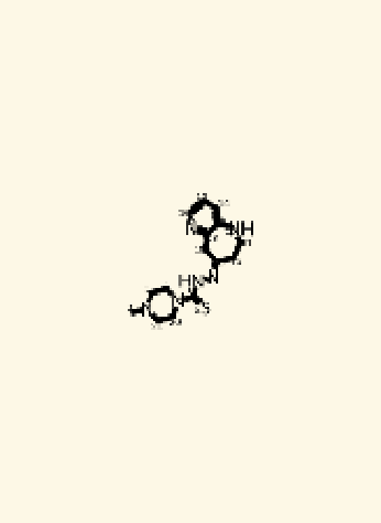 CN1CCN(C(=S)N/N=C2/CCNc3cccnc3C2)CC1